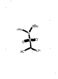 CCCCN(CCCC)S(=O)(=O)C(C#N)C#N